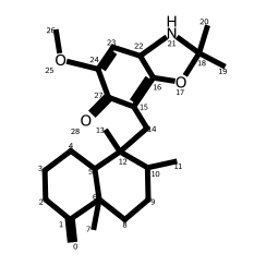 C=C1CCCC2C1(C)CCC(C)C2(C)CC1=C2OC(C)(C)NC2C=C(OC)C1=O